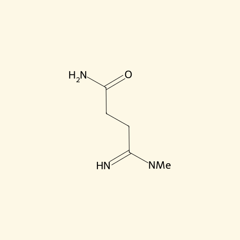 CNC(=N)CCC(N)=O